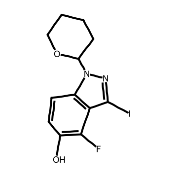 Oc1ccc2c(c(I)nn2C2CCCCO2)c1F